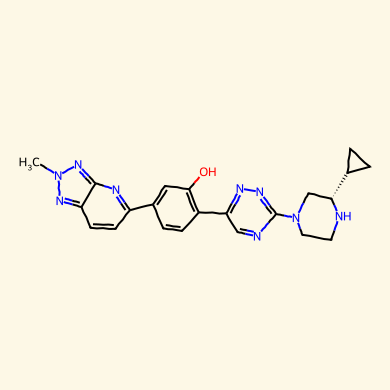 Cn1nc2ccc(-c3ccc(-c4cnc(N5CCN[C@@H](C6CC6)C5)nn4)c(O)c3)nc2n1